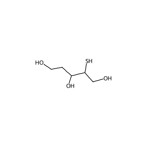 OCCC(O)C(S)CO